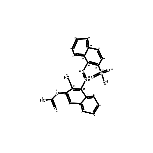 O=C(O)Oc1cc2ccccc2c(N=Nc2c(S(=O)(=O)O)ccc3ccccc23)c1O